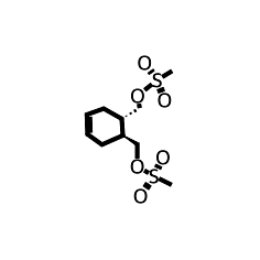 CS(=O)(=O)OC[C@H]1CC=CC[C@@H]1COS(C)(=O)=O